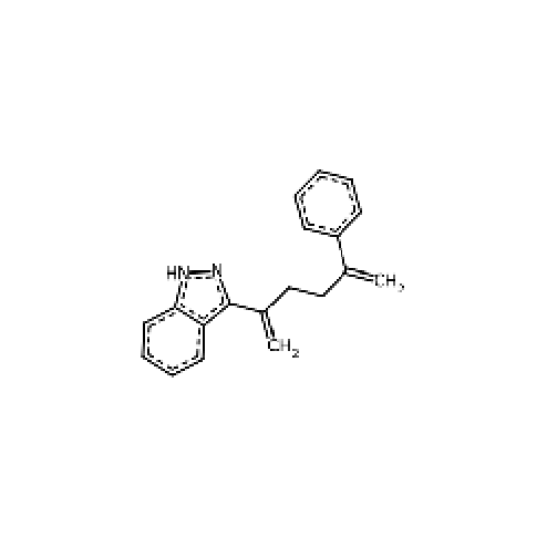 C=C(CCC(=C)c1n[nH]c2ccccc12)c1ccccc1